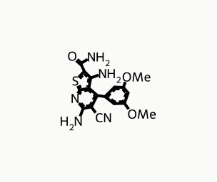 COc1cc(OC)cc(-c2c(C#N)c(N)nc3sc(C(N)=O)c(N)c23)c1